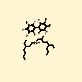 CCCCC(CC)CCNCC(C)CCC(CC)CCC.Fc1c(F)c(F)c(-c2c(F)c(F)c(F)c(F)c2F)c(F)c1F